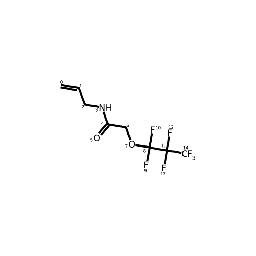 C=CCNC(=O)COC(F)(F)C(F)(F)C(F)(F)F